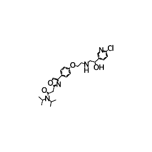 CC(C)N(C(=O)Cc1nc(-c2ccc(OCCNC[C@H](O)c3ccc(Cl)nc3)cc2)co1)C(C)C